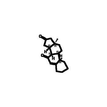 C[C@]12CC[C@H]3[C@@H](C(=O)C=C4CCCC[C@@]43C)[C@@H]1CC(=O)C2